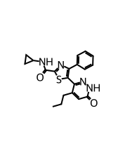 CCCc1cc(=O)[nH]nc1-c1sc(C(=O)NC2CC2)nc1-c1ccccc1